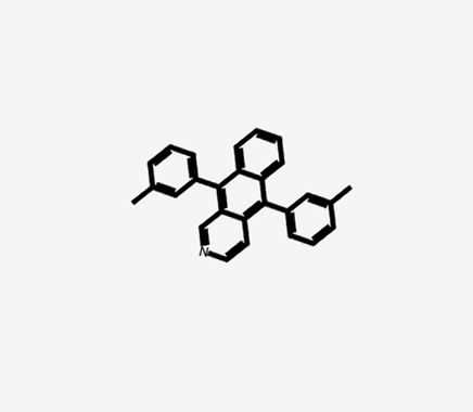 Cc1cccc(-c2c3ccccc3c(-c3cccc(C)c3)c3cnccc23)c1